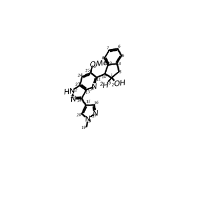 [2H]C1(O)Cc2ccccc2C1c1nc2c(-c3cnn(C)c3)n[nH]c2cc1OC